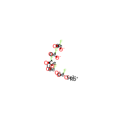 [Li+].[O]=[Ge]([O-])[F].[O]=[Ge]([O-])[F].[O]=[Ge]([O-])[F].[O]=[Ge]([O-])[F].[O]=[Ge]([O-])[F].[Rb+].[Sc+3]